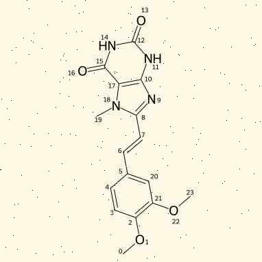 COc1ccc(/C=C/c2nc3[nH]c(=O)[nH]c(=O)c3n2C)cc1OC